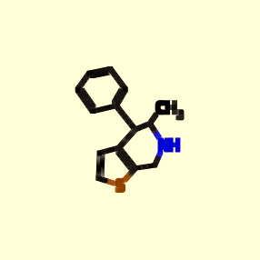 CC1NCc2sccc2C1c1ccccc1